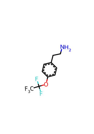 NCCc1ccc(OC(F)(F)C(F)(F)F)cc1